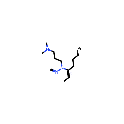 C=NN(CCCN(C)C)/C(=C\C)CCCC(C)C